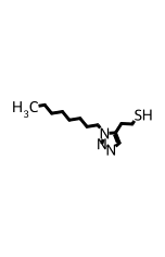 CCCCCCCCn1nncc1CCS